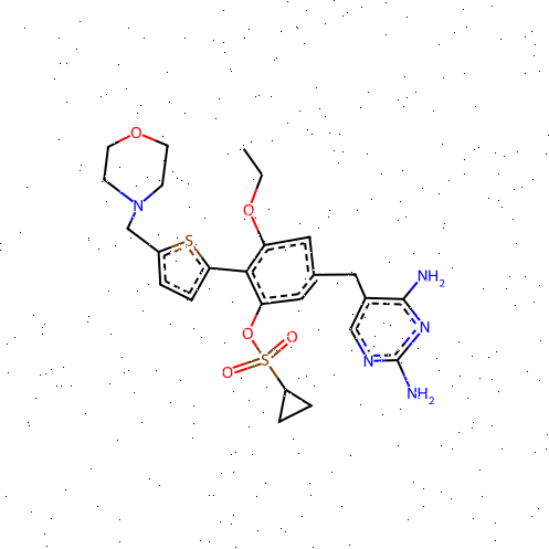 CCOc1cc(Cc2cnc(N)nc2N)cc(OS(=O)(=O)C2CC2)c1-c1ccc(CN2CCOCC2)s1